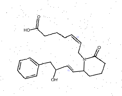 O=C(O)CCC/C=C\CN1C(=O)CCCC1/C=C/C(O)Cc1ccccc1